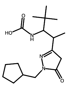 CC(C1=NN(CC2CCCC2)C(=O)C1)C(NC(=O)O)C(C)(C)C